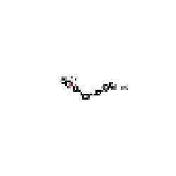 CCCCCCOc1ccc(-c2ccc(CCc3cccc(CCc4ccc(-c5ccc(OCCCCCC)cc5)cc4)c3)cc2)cc1